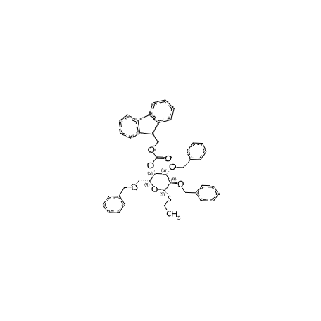 CCS[C@@H]1O[C@H](COCc2ccccc2)[C@H](OC(=O)OCC2c3ccccc3-c3ccccc32)[C@H](OCc2ccccc2)[C@H]1OCc1ccccc1